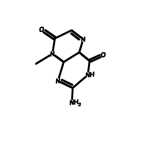 CN1C(=O)C=NC2C(=O)NC(N)=NC21